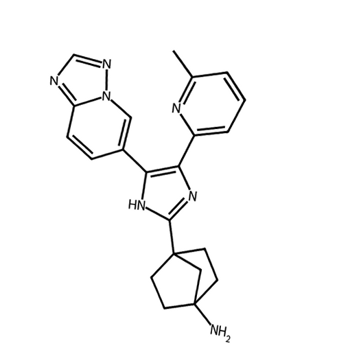 Cc1cccc(-c2nc(C34CCC(N)(CC3)C4)[nH]c2-c2ccc3ncnn3c2)n1